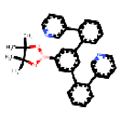 CC1(C)OB(c2cc(-c3ccccc3-c3cccnc3)cc(-c3ccccc3-c3cccnc3)c2)OC1(C)C